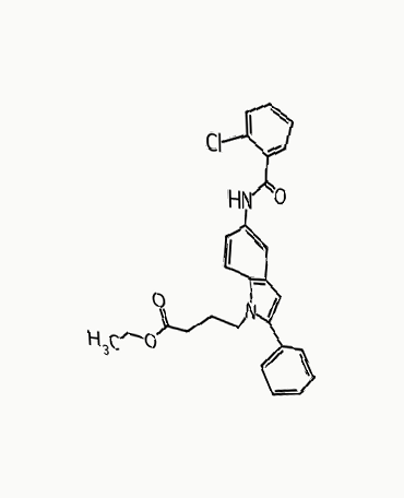 CCOC(=O)CCCn1c(-c2ccccc2)cc2cc(NC(=O)c3ccccc3Cl)ccc21